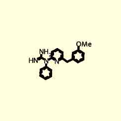 COc1cccc(Cc2cccc(N(C(=N)N)c3ccccc3)n2)c1